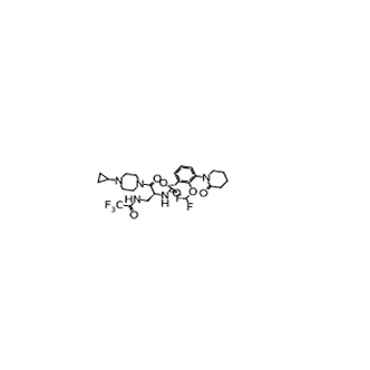 O=C([C@H](CNC(=O)C(F)(F)F)NS(=O)(=O)c1cccc(N2CCCCC2=O)c1OC(F)F)N1CCN(C2CC2)CC1